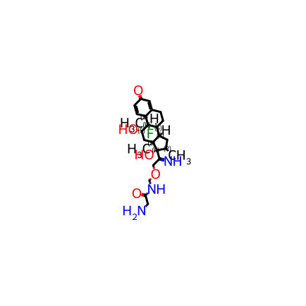 C[C@@H]1C[C@H]2[C@@H]3CCC4=CC(=O)C=C[C@]4(C)[C@@]3(F)[C@@H](O)C[C@]2(C)[C@@]1(O)C(=N)COCNC(=O)CN